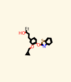 CCC(O)CCc1ccc(Oc2nc3ccccc3s2)c(OCC2CC2)c1